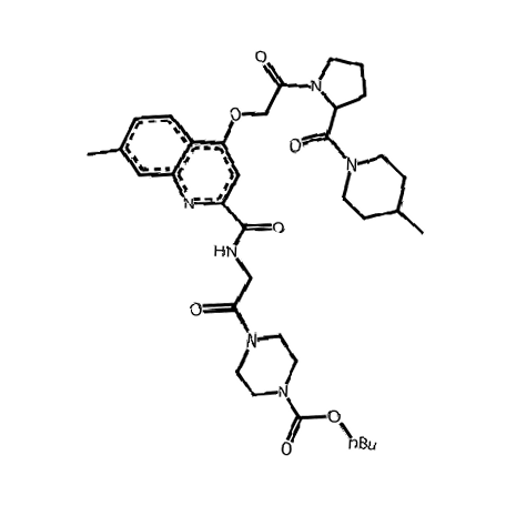 CCCCOC(=O)N1CCN(C(=O)CNC(=O)c2cc(OCC(=O)N3CCCC3C(=O)N3CCC(C)CC3)c3ccc(C)cc3n2)CC1